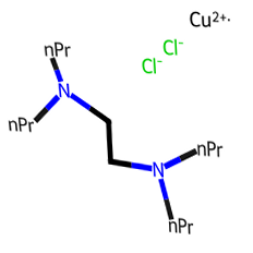 CCCN(CCC)CCN(CCC)CCC.[Cl-].[Cl-].[Cu+2]